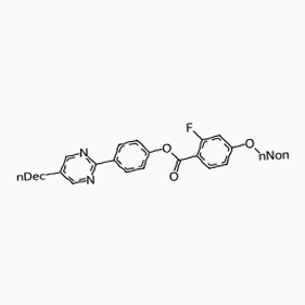 CCCCCCCCCCc1cnc(-c2ccc(OC(=O)c3ccc(OCCCCCCCCC)cc3F)cc2)nc1